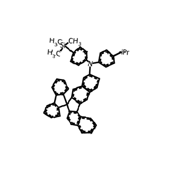 CC(C)c1ccc(N(c2ccc([Si](C)(C)C)cc2)c2ccc3cc4c(cc3c2)C2(c3ccccc3-c3ccccc32)c2ccc3ccccc3c2-4)cc1